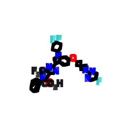 O=C(NC1(C(=O)O)C2CC3CC(C2)CC1C3)c1cnc(-c2cn(C3CCC(F)(F)CC3)c3cc(OC4CC5(C4)CN(c4ncc(F)cn4)C5)ccc23)nc1C(F)(F)F